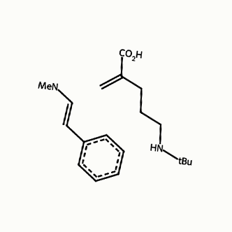 C=C(CCCNC(C)(C)C)C(=O)O.CNC=Cc1ccccc1